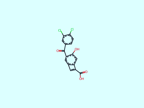 O=C(O)C1=Cc2cc(C(=O)c3ccc(Cl)c(Cl)c3)c(O)cc21